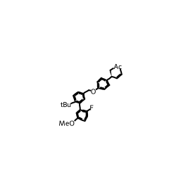 C/C=C\[C@H](CC(C)=O)c1ccc(OCc2ccc(C(C)(C)C)c(-c3cc(OC)ccc3F)c2)cc1